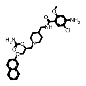 COc1cc(N)c(Cl)cc1C(=O)NCC1CCN(CC(COc2ccc3ccccc3c2)OC(N)=O)CC1